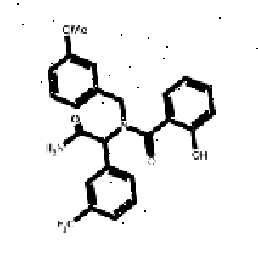 COc1cccc(CN(C(=O)c2ccccc2O)C(C(N)=O)c2cccc(C(F)(F)F)c2)c1